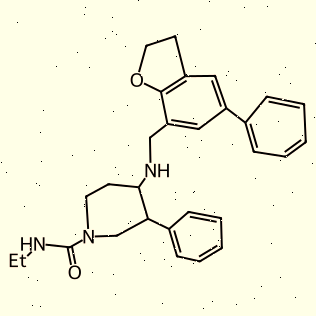 CCNC(=O)N1CCC(NCc2cc(-c3ccccc3)cc3c2OCC3)C(c2ccccc2)C1